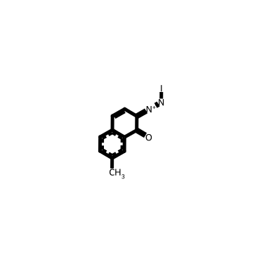 Cc1ccc2c(c1)C(=O)C(=[N+]=NI)C=C2